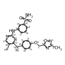 Cc1noc(COc2ccc(Nc3nc(Nc4cccc(S(N)(=O)=O)c4)ncc3F)cc2)n1